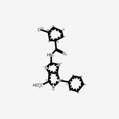 O=C(Nc1nc2c(s1)c(C(=O)O)nn2-c1ccccc1)c1cccc(Cl)c1